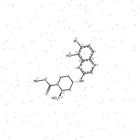 CC(C)(C)OC(=O)N1CC[C@H](Nc2cnc3ccc(Br)c(O)c3n2)C[C@H]1C(=O)O